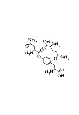 NC(=O)CC[C@H](N)C(=O)O.NC(=O)C[C@H](N)C(=O)Oc1ccc(C[C@H](N)C(=O)O)cc1